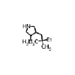 CCC(C)(C)CC1CNCC1C